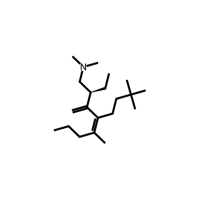 C=C(/C(CCC(C)(C)C)=C(/C)CCC)[C@H](CC)CN(C)C